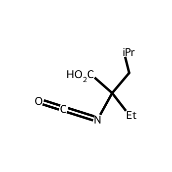 CCC(CC(C)C)(N=C=O)C(=O)O